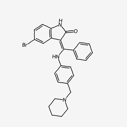 O=C1Nc2ccc(Br)cc2C1=C(Nc1ccc(CN2CCCCC2)cc1)c1ccccc1